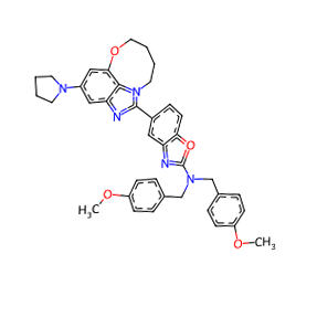 COc1ccc(CN(Cc2ccc(OC)cc2)c2nc3cc(-c4nc5cc(N6CCCC6)cc6c5n4CCCCO6)ccc3o2)cc1